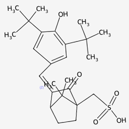 CC(C)(C)c1cc(/C=C2\C(=O)C3(CS(=O)(=O)O)CCC2C3(C)C)cc(C(C)(C)C)c1O